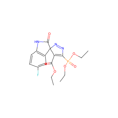 CCOC(=O)C1=C(P(=O)(OCC)OCC)N=NC12C(=O)Nc1ccc(F)cc12